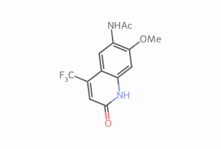 COc1cc2[nH]c(=O)cc(C(F)(F)F)c2cc1NC(C)=O